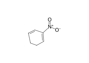 O=[N+]([O-])C1=CCCC=C1